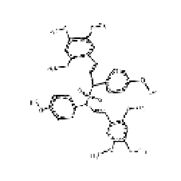 COc1ccc(C(C=Cc2cc(OC)c(OC)cc2OC)S(=O)(=O)C(C=Cc2cc(OC)c(OC)cc2OC)c2ccc(OC)cc2)cc1